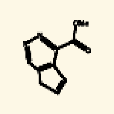 COC(=O)c1nncc2c1C=CC2